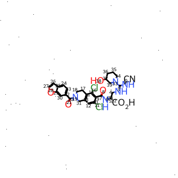 N#CNC(NC[C@H](NC(=O)c1c(Cl)cc2c(c1Cl)CCN(C(=O)c1ccc3ccoc3c1)C2)C(=O)O)N1CCCC(O)C1